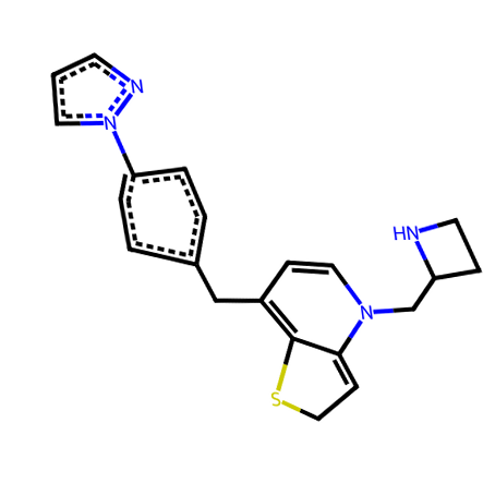 C1=CN(CC2CCN2)C2=CCSC2=C1Cc1ccc(-n2cccn2)cc1